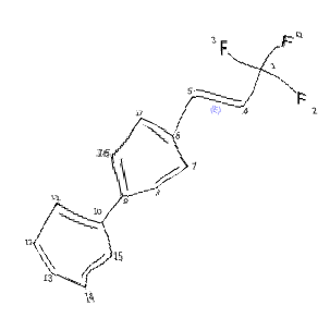 FC(F)(F)/C=C/c1ccc(-c2ccccc2)cc1